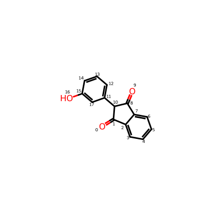 O=C1c2ccccc2C(=O)C1c1cccc(O)c1